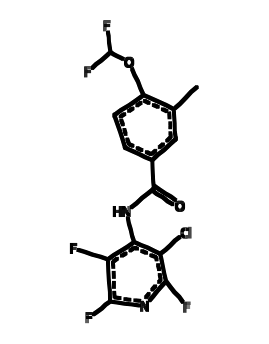 Cc1cc(C(=O)Nc2c(F)c(F)nc(F)c2Cl)ccc1OC(F)F